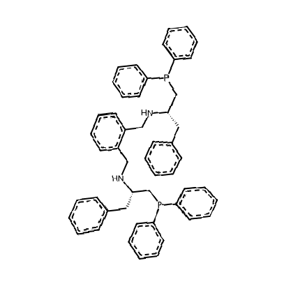 c1ccc(C[C@@H](CP(c2ccccc2)c2ccccc2)NCc2ccccc2CN[C@@H](Cc2ccccc2)CP(c2ccccc2)c2ccccc2)cc1